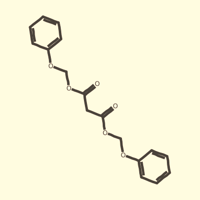 O=C(CC(=O)OCOc1ccccc1)OCOc1ccccc1